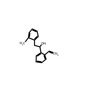 C=Cc1ccccc1C(O)Cc1ccccc1C